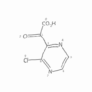 O=C(O)C(=O)c1nccnc1Cl